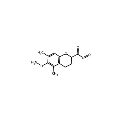 Cc1cc2c(c(C)c1ON)CCC(C(=O)N=O)O2